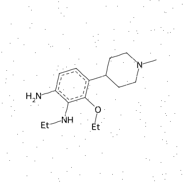 CCNc1c(N)ccc(C2CCN(C)CC2)c1OCC